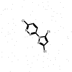 CCc1cc(CC)n(-c2ccc(Cl)nn2)n1